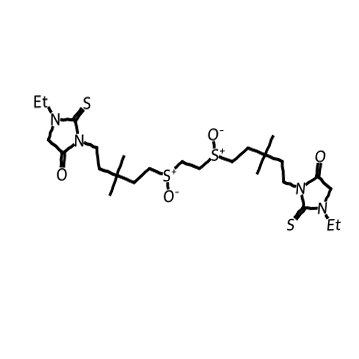 CCN1CC(=O)N(CCC(C)(C)CC[S+]([O-])CC[S+]([O-])CCC(C)(C)CCN2C(=O)CN(CC)C2=S)C1=S